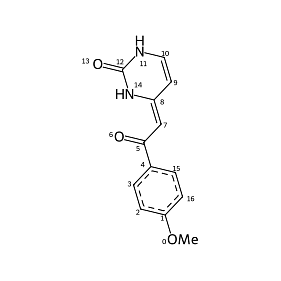 COc1ccc(C(=O)/C=C2/C=CNC(=O)N2)cc1